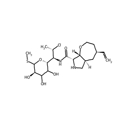 C=C[C@@H]1CCO[C@@H]2[C@H](CN[C@@H]2C(=O)N[C@H]([C@H](C)Cl)[C@H]2OC(SC)[C@H](O)C(O)C2O)C1